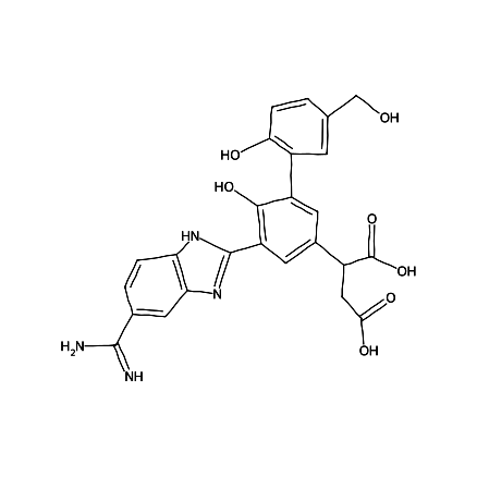 N=C(N)c1ccc2[nH]c(-c3cc(C(CC(=O)O)C(=O)O)cc(-c4cc(CO)ccc4O)c3O)nc2c1